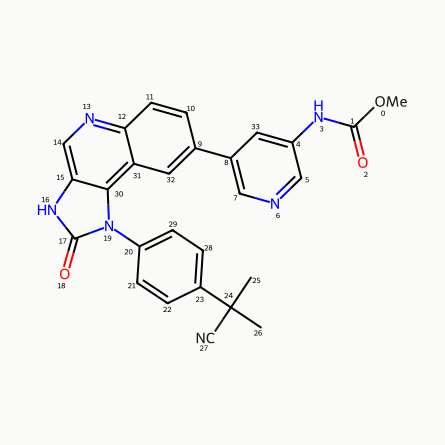 COC(=O)Nc1cncc(-c2ccc3ncc4[nH]c(=O)n(-c5ccc(C(C)(C)C#N)cc5)c4c3c2)c1